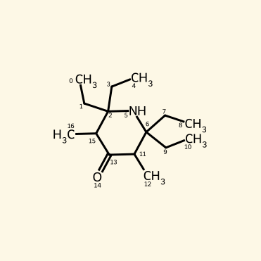 CCC1(CC)NC(CC)(CC)C(C)C(=O)C1C